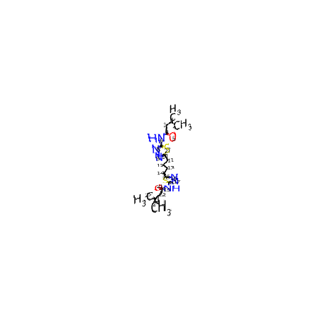 CC(C)CC(=O)Nc1nnc(CCCCc2nnc(NC(=O)CC(C)C)s2)s1